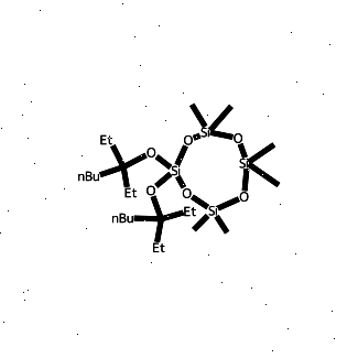 CCCCC(CC)(CC)O[Si]1(OC(CC)(CC)CCCC)O[Si](C)(C)O[Si](C)(C)O[Si](C)(C)O1